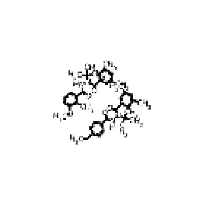 CCc1ccc(C(=O)NN(C(=O)c2cc(C)cc(C)c2)C(C)(C)C)cc1.COc1cccc(C(=O)NN(C(=O)c2cc(C)cc(C)c2)C(C)(C)C)c1C